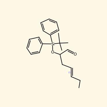 CC/C=C/CC(C=O)O[Si](c1ccccc1)(c1ccccc1)C(C)(C)C